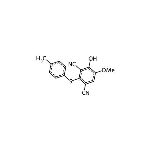 COc1cc(C#N)c(Sc2ccc(C)cc2)c(C#N)c1O